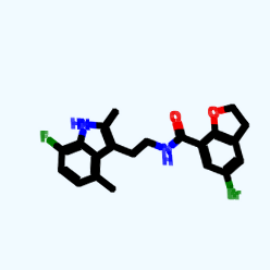 Cc1[nH]c2c(F)ccc(C)c2c1CCNC(=O)c1cc(Br)cc2c1OCC2